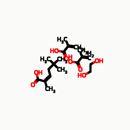 C=C(C)C(=O)O.C=C(C)C(=O)O.CC(=CCC(C)(C)C)C(=O)O.OCCO